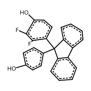 Oc1ccc(C2(c3ccc(O)c(F)c3F)c3ccccc3-c3ccccc32)cc1